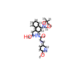 COc1ccc(/C=C/C(=O)Nc2cc(N(C=O)OC(C)(C)C)c3ccccc3c2CCO)cn1